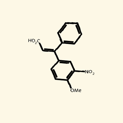 COc1ccc(/C(=C/C(=O)O)c2ccccc2)cc1[N+](=O)[O-]